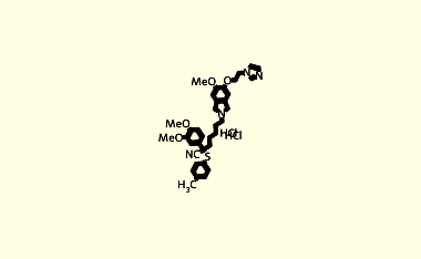 COc1ccc(C(C#N)(CCCCCN2Cc3cc(OC)c(OCCn4ccnc4)cc3C2)Sc2ccc(C)cc2)cc1OC.Cl.Cl